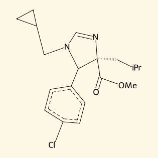 COC(=O)[C@]1(CC(C)C)N=CN(CC2CC2)C1c1ccc(Cl)cc1